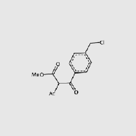 COC(=O)C(C(C)=O)C(=O)c1ccc(CCl)cc1